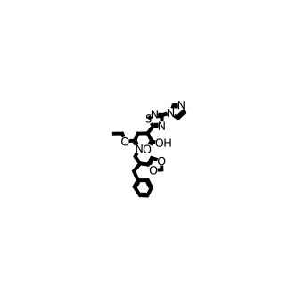 CCOC(CC(C(=O)O)c1nc(-n2ccnc2)ns1)=NCC(Cc1ccccc1)C1=COCO1